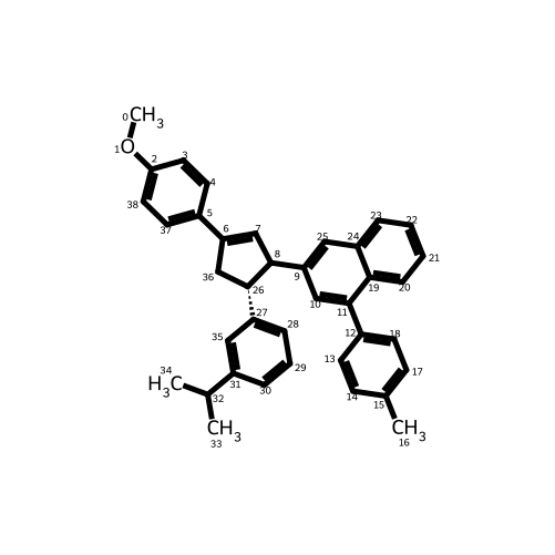 COc1ccc(C2=CC(c3cc(-c4ccc(C)cc4)c4ccccc4c3)[C@H](c3cccc(C(C)C)c3)C2)cc1